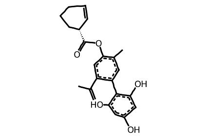 C=C(C)c1cc(OC(=O)[C@H]2C=CCCC2)c(C)cc1-c1c(O)cc(O)cc1O